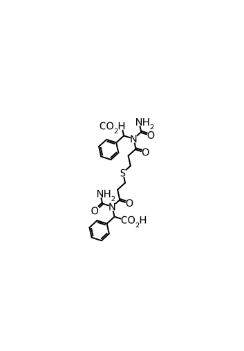 NC(=O)N(C(=O)CCSCCC(=O)N(C(N)=O)C(C(=O)O)c1ccccc1)C(C(=O)O)c1ccccc1